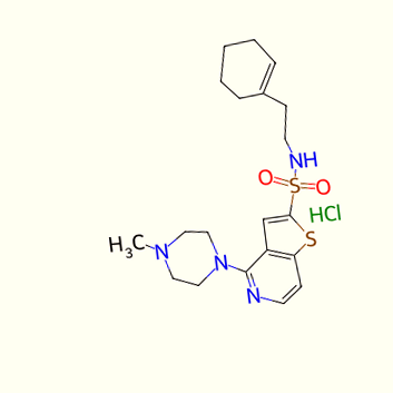 CN1CCN(c2nccc3sc(S(=O)(=O)NCCC4=CCCCC4)cc23)CC1.Cl